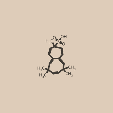 CC1(C)/C=C\C(C)(C)/C=C2/C=CC(C)(S(=O)(=O)O)C=C/C2=C/1